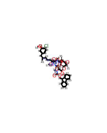 CNC(=O)C[C@H](OC(=O)[C@@H](C)N(C)C(=O)OCC1c2ccccc2-c2ccccc21)[C@]1(C)OC1[C@H](C)[C@@H]1C[C@](O)([C@@H](/C=C/C=C(\C)Cc2ccc(Cl)c(OC)c2)OC)NC(=O)O1